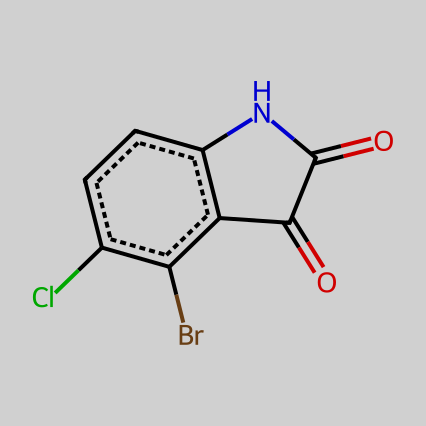 O=C1Nc2ccc(Cl)c(Br)c2C1=O